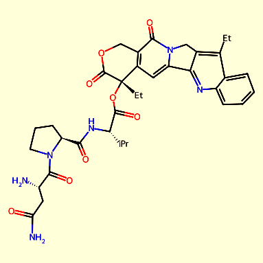 CCc1c2c(nc3ccccc13)-c1cc3c(c(=O)n1C2)COC(=O)[C@@]3(CC)OC(=O)[C@@H](NC(=O)[C@@H]1CCCN1C(=O)[C@@H](N)CC(N)=O)C(C)C